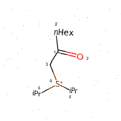 CCCCCCC(=O)C[S+](C(C)C)C(C)C